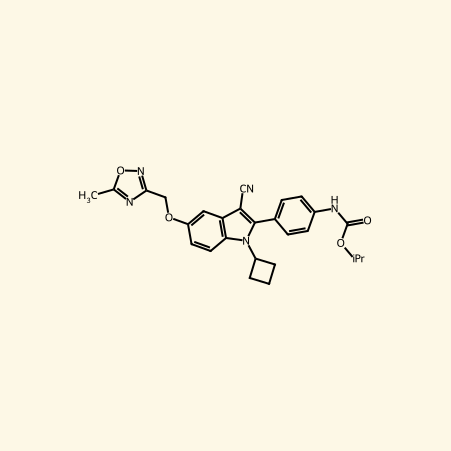 Cc1nc(COc2ccc3c(c2)c(C#N)c(-c2ccc(NC(=O)OC(C)C)cc2)n3C2CCC2)no1